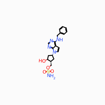 NS(=O)(=O)OC[C@@H]1C[C@@H](n2ccc3c(NCc4ccccc4)ncnc32)C[C@@H]1O